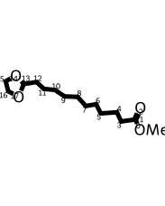 COC(=O)CCCCCCCCCCC1OCCO1